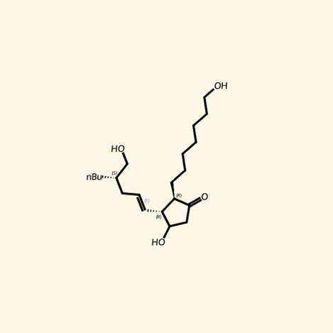 CCCC[C@H](CO)C/C=C/[C@H]1C(O)CC(=O)[C@@H]1CCCCCCCO